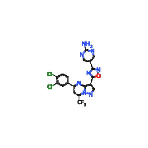 Nc1ncc(-c2noc(-c3cnn4c(C(F)(F)F)cc(-c5ccc(Cl)c(Cl)c5)nc34)n2)cn1